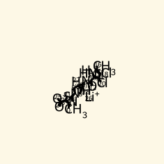 Cc1nc(N2C[C@@H]3[C@H](C2)[C@@H]3NC(=O)c2[nH]c(C)c(Cl)c2Cl)sc1C(=O)[O-].[Li+]